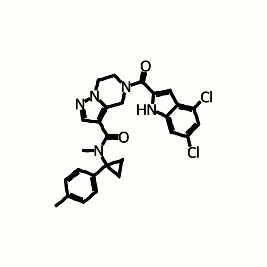 Cc1ccc(C2(N(C)C(=O)c3cnn4c3CN(C(=O)c3cc5c(Cl)cc(Cl)cc5[nH]3)CC4)CC2)cc1